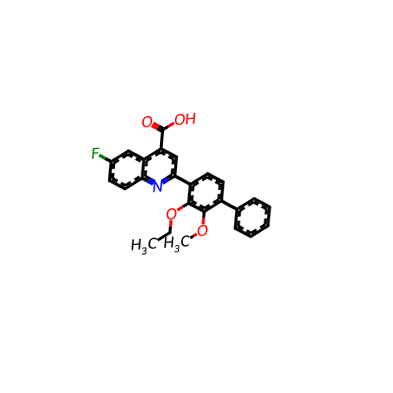 CCOc1c(-c2cc(C(=O)O)c3cc(F)ccc3n2)ccc(-c2ccccc2)c1OC